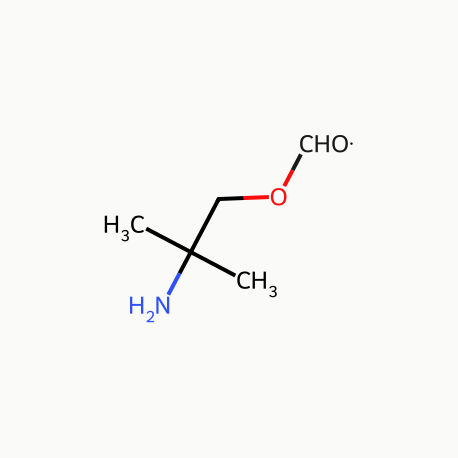 CC(C)(N)CO[C]=O